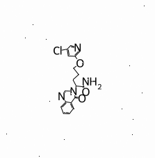 NC(=O)C(CCCOc1cncc(Cl)c1)n1cnc2ccccc2c1=O